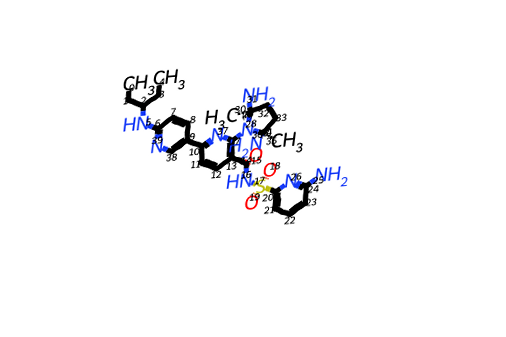 CCC(CC)Nc1ccc(-c2ccc(C(=O)NS(=O)(=O)c3cccc(N)n3)c(N3[C@@](C)(N)CC[C@@]3(C)N)n2)cn1